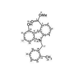 COC(=O)c1cccc2c1c1c(O)cccc1n2Cc1ccccc1C